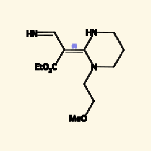 CCOC(=O)/C(C=N)=C1/NCCCN1CCOC